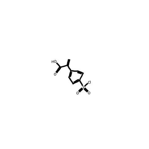 C=C(C(=O)O)c1ccc(S(=O)(=O)Cl)cc1